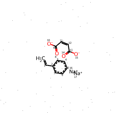 C=Cc1ccccc1.O=C([O-])/C=C\C(=O)[O-].[Na+].[Na+]